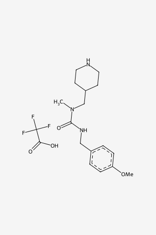 COc1ccc(CNC(=O)N(C)CC2CCNCC2)cc1.O=C(O)C(F)(F)F